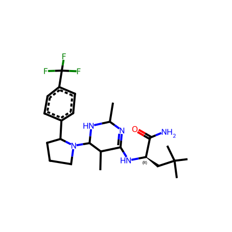 CC1N=C(N[C@H](CC(C)(C)C)C(N)=O)C(C)C(N2CCCC2c2ccc(C(F)(F)F)cc2)N1